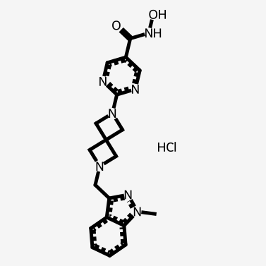 Cl.Cn1nc(CN2CC3(C2)CN(c2ncc(C(=O)NO)cn2)C3)c2ccccc21